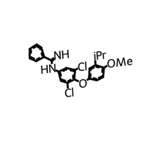 COc1ccc(Oc2c(Cl)cc(NC(=N)c3ccccc3)cc2Cl)cc1C(C)C